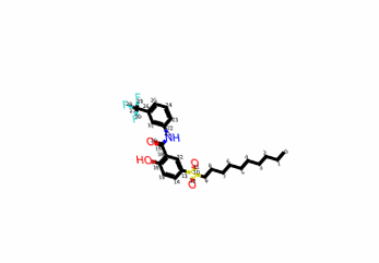 CCCCCCCCCCS(=O)(=O)c1ccc(O)c(C(=O)Nc2cccc(C(F)(F)F)c2)c1